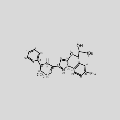 CC(C)(C)C(O)COc1cc(C(=O)NC(CC(=O)O)c2ccccc2)nn1-c1ccc(F)cc1